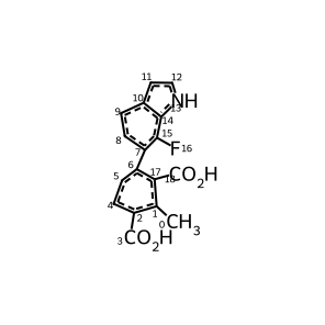 Cc1c(C(=O)O)ccc(-c2ccc3cc[nH]c3c2F)c1C(=O)O